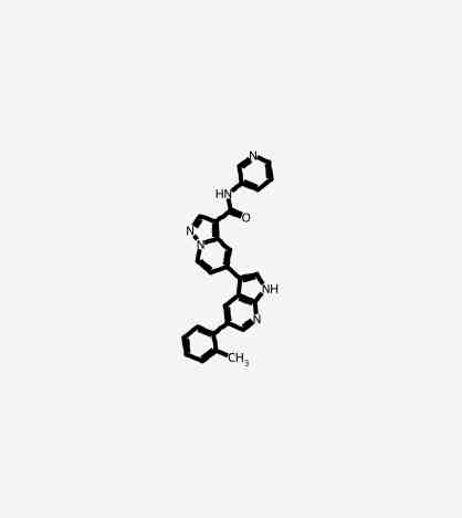 Cc1ccccc1-c1cnc2[nH]cc(-c3ccn4ncc(C(=O)Nc5cccnc5)c4c3)c2c1